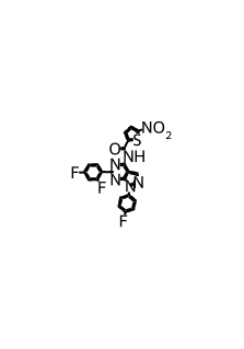 O=C(Nc1nc(-c2ccc(F)cc2F)nc2c1cnn2-c1ccc(F)cc1)c1ccc([N+](=O)[O-])s1